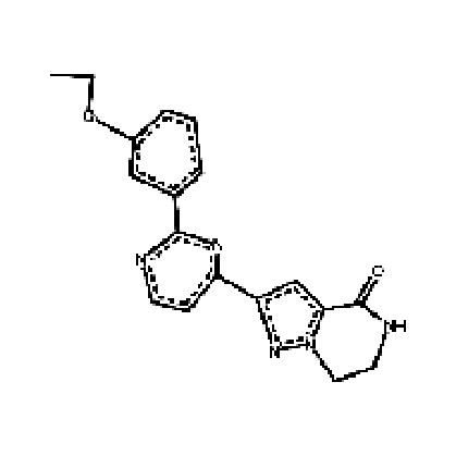 CCOc1cccc(-c2nccc(-c3cc4n(n3)CCNC4=O)n2)c1